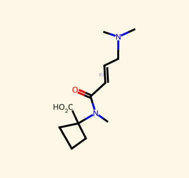 CN(C)C/C=C/C(=O)N(C)C1(C(=O)O)CCC1